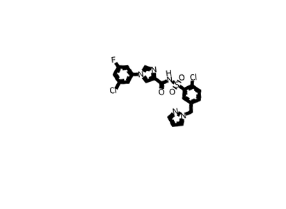 O=C(NS(=O)(=O)c1cc(Cn2cccn2)ccc1Cl)c1cn(-c2cc(F)cc(Cl)c2)cn1